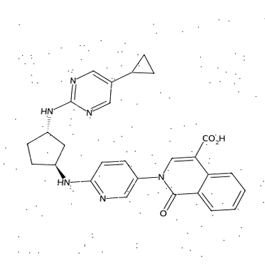 O=C(O)c1cn(-c2ccc(N[C@H]3CC[C@H](Nc4ncc(C5CC5)cn4)C3)nc2)c(=O)c2ccccc12